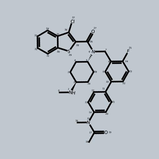 CN[C@H]1CC[C@H](N(Cc2cc(-c3ccc(N(C)C(C)=O)cc3)ccc2F)C(=O)c2sc3ccccc3c2Cl)CC1